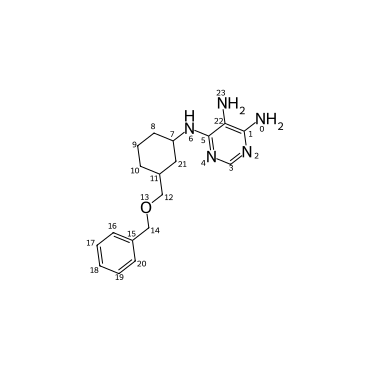 Nc1ncnc(NC2CCCC(COCc3ccccc3)C2)c1N